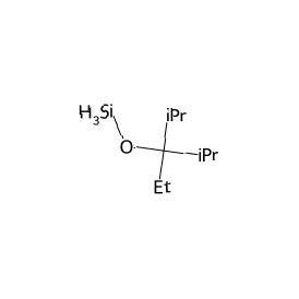 CCC(O[SiH3])(C(C)C)C(C)C